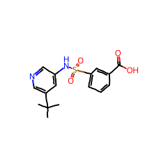 CC(C)(C)c1cncc(NS(=O)(=O)c2cccc(C(=O)O)c2)c1